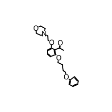 CC(=O)c1c(OCCCCOc2ccccc2)cccc1OCCN1CCOCC1